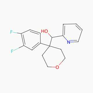 OC(c1ccccn1)C1(c2ccc(F)c(F)c2)CCOCC1